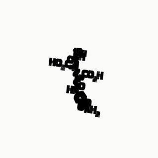 CC(C)(C)NC(=O)CN(CCN(CC(=O)O)CC(=O)Nc1ccc(S(N)(=O)=O)cc1)CC(=O)O